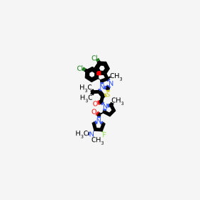 CC(C)C1=C(C(=O)N2C(C)CC[C@H]2C(=O)N2C[C@@H](F)[C@H](N(C)C)C2)SC2=N[C@@](C)(c3ccc(Cl)cc3)[C@@H](c3ccc(Cl)cc3)N21